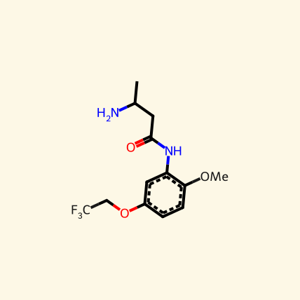 COc1ccc(OCC(F)(F)F)cc1NC(=O)CC(C)N